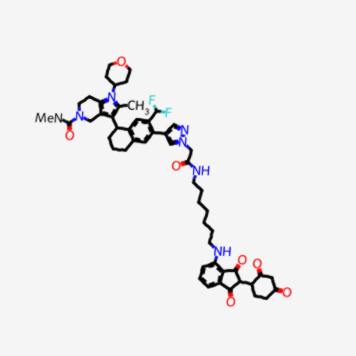 CNC(=O)N1CCc2c(c(C3CCCc4cc(-c5cnn(CC(=O)NCCCCCCCNc6cccc7c6C(=O)C(C6CCC(=O)CC6=O)C7=O)c5)c(C(F)F)cc43)c(C)n2C2CCOCC2)C1